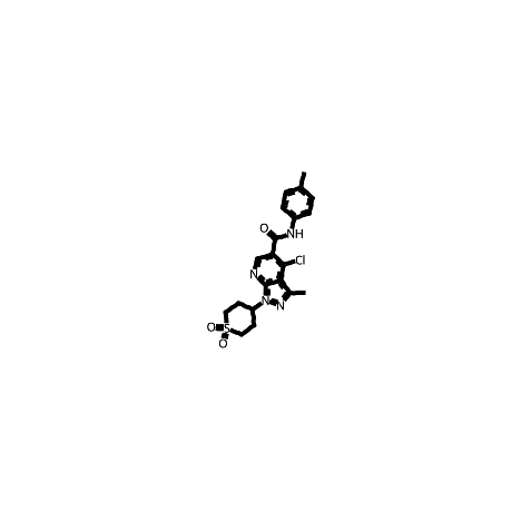 Cc1ccc(NC(=O)c2cnc3c(c(C)nn3C3CCS(=O)(=O)CC3)c2Cl)cc1